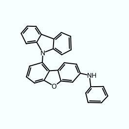 c1ccc(Nc2ccc3c(c2)oc2cccc(-n4c5ccccc5c5ccccc54)c23)cc1